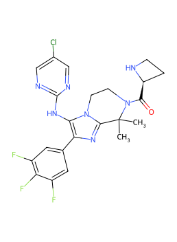 CC1(C)c2nc(-c3cc(F)c(F)c(F)c3)c(Nc3ncc(Cl)cn3)n2CCN1C(=O)[C@@H]1CCN1